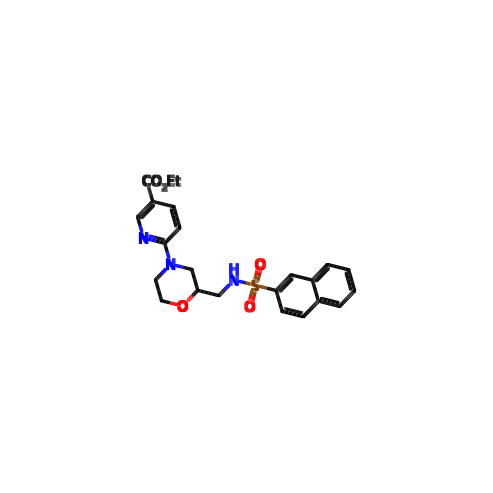 CCOC(=O)c1ccc(N2CCOC(CNS(=O)(=O)c3ccc4ccccc4c3)C2)nc1